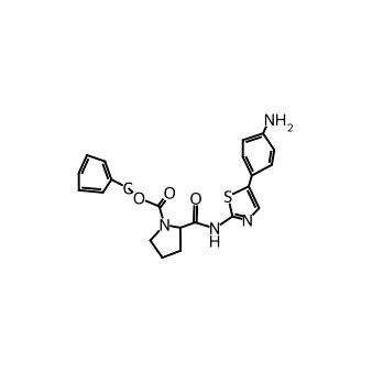 Nc1ccc(-c2cnc(NC(=O)C3CCCN3C(=O)OCc3ccccc3)s2)cc1